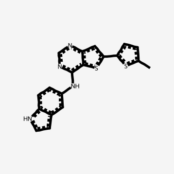 Cc1ccc(-c2cc3ncnc(Nc4ccc5[nH]ccc5c4)c3s2)s1